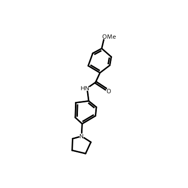 COc1ccc(C(=O)Nc2ccc(N3CCCC3)cc2)cc1